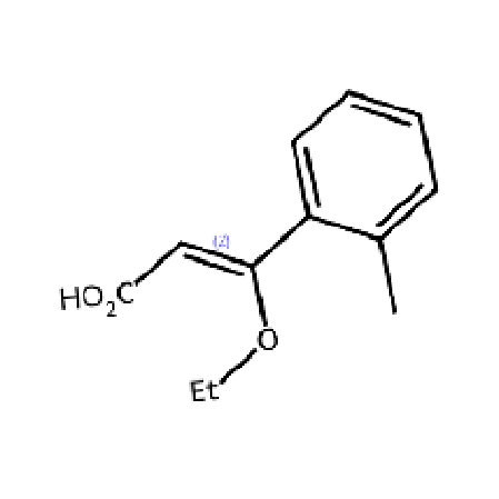 CCO/C(=C\C(=O)O)c1ccccc1C